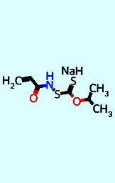 C=CC(=O)NSC(=S)OC(C)C.[NaH]